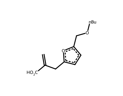 C=C(Cc1ccc(COCCCC)o1)C(=O)O